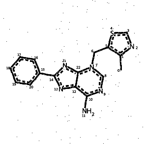 Cc1ncsc1Cn1cnc(N)c2nc(-c3ccccc3)nc1-2